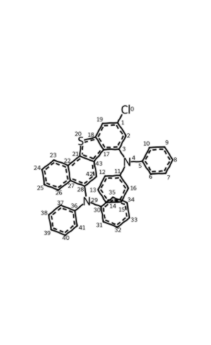 Clc1cc(N(c2ccccc2)c2ccccc2)c2c(c1)sc1c3ccccc3c(N(c3ccccc3)c3ccccc3)cc12